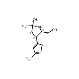 Cc1csc([C@H]2OC(C)(C)N[C@H]2CO)c1